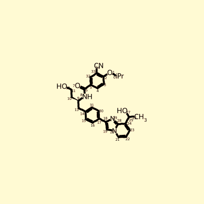 CC(C)Oc1ccc(C(=O)N[C@H](CCO)Cc2ccc(-c3cn4cccc(C(C)O)c4n3)cc2)cc1C#N